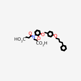 O=C(O)CCC(=O)N1CC(C(=O)O)Oc2c(OCc3ccc(OCCCCc4ccccc4)cc3)cccc21